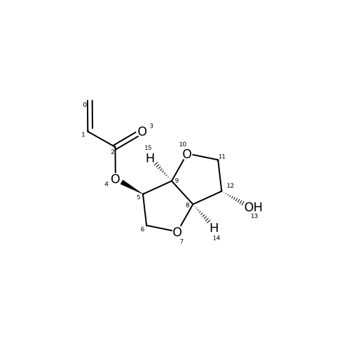 C=CC(=O)O[C@@H]1CO[C@H]2[C@@H]1OC[C@@H]2O